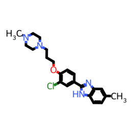 Cc1ccc2[nH]c(-c3ccc(OCCCN4CCN(C)CC4)c(Cl)c3)nc2c1